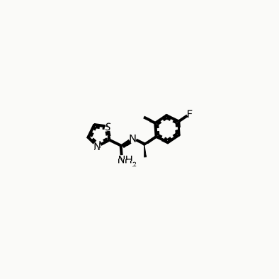 Cc1cc(F)ccc1[C@@H](C)/N=C(\N)c1nccs1